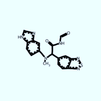 CN(c1ccc2[nH]cnc2c1)C(C(=O)NC=O)c1ccc2nsnc2c1